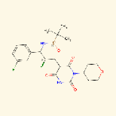 CC(C)(C)[S@+]([O-])NC(c1cccc(F)c1)[C@H](F)CC1C(=O)NC(=O)N(C2CCOCC2)C1=O